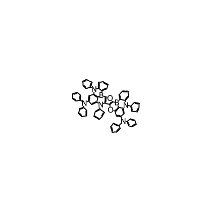 c1ccc(N(c2ccccc2)c2cc3c4c(c2)N(c2ccccc2)c2ccccc2B4c2oc4c(c2O3)N(c2ccccc2)c2cc(N(c3ccccc3)c3ccccc3)cc3c2B4c2ccccc2N3c2ccccc2)cc1